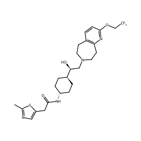 Cc1ncc(CC(=O)N[C@H]2CC[C@H]([C@@H](O)CN3CCc4ccc(OCC(F)(F)F)nc4CC3)CC2)s1